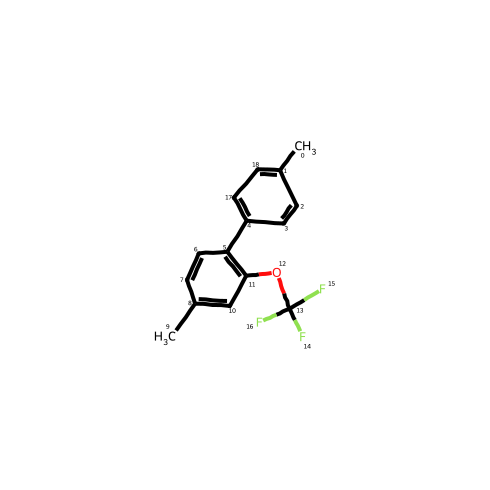 Cc1ccc(-c2ccc(C)cc2OC(F)(F)F)cc1